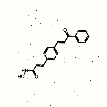 O=C(/C=C/c1ccc(/C=C/C(=O)c2ccccc2)cc1)NO